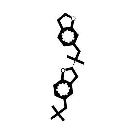 CC(C)(C)Cc1ccc2c(c1)C[C@@H](C(C)(C)Cc1ccc3c(c1)OCC3)O2